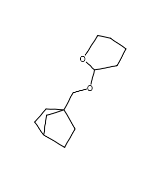 C1CCC(OCC23CCC(CC2)C3)OC1